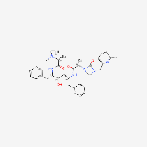 CCC(C)[C@@H](C(=O)N[C@@H](Cc1ccccc1)[C@@H](O)C[C@H](Cc1ccccc1)NC(=O)[C@H](C(C)CC)N1CCN(Cc2cccc(C)n2)C1=O)N(C)C(=O)O